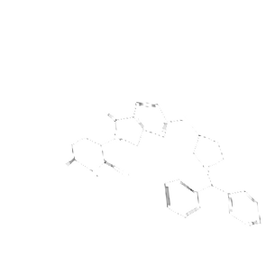 O=C1CCC(N2Cc3cc(SC4CCN(C(c5ccccc5)c5ccccc5)C4)ccc3C2=O)C(=O)N1